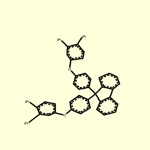 CC(C)c1ccc(Oc2ccc(C3(c4ccc(Oc5ccc(C(C)C)c(C(C)C)c5)cc4)c4ccccc4-c4ccccc43)cc2)cc1C(C)C